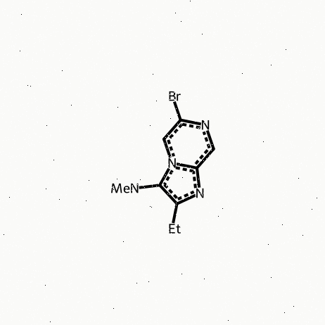 CCc1nc2cnc(Br)cn2c1NC